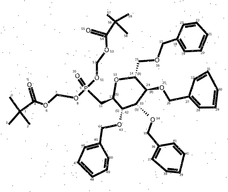 CC(C)(C)C(=O)OCOP(=O)(C[C@H]1O[C@H](COCc2ccccc2)[C@@H](OCc2ccccc2)[C@H](OCc2ccccc2)[C@@H]1OCc1ccccc1)OCOC(=O)C(C)(C)C